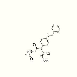 CC(=O)NCC(=O)C(/C(Cl)=N/O)c1ccc(OCc2ccccc2)cc1